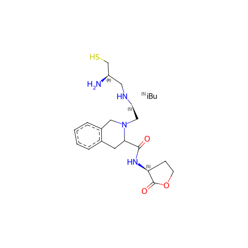 CC[C@H](C)[C@@H](CN1Cc2ccccc2CC1C(=O)N[C@H]1CCOC1=O)NC[C@@H](N)CS